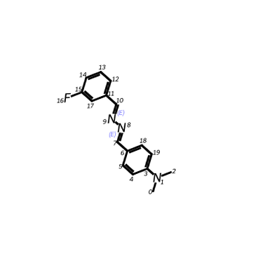 CN(C)c1ccc(/C=N/N=C/c2cccc(F)c2)cc1